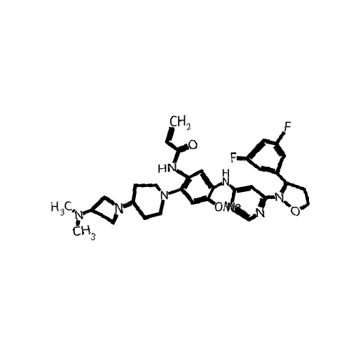 C=CC(=O)Nc1cc(Nc2cc(N3OCCC3c3cc(F)cc(F)c3)ncn2)c(OC)cc1N1CCC(N2CC(N(C)C)C2)CC1